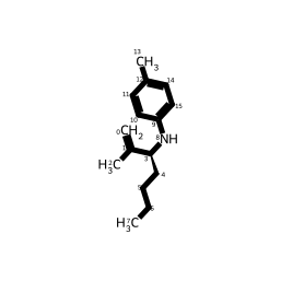 C=C(C)[C@H](CCCC)Nc1ccc(C)cc1